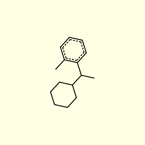 Cc1ccccc1C(C)C1CCCCC1